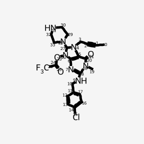 CC#CCN1c2c(nc(NCc3ccc(Cl)cc3)n(C)c2=O)N(OC(=O)C(F)(F)F)C1N1CCNCC1